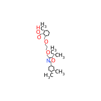 Cc1ccc(-c2nc(COCCCOCc3cccc(C)c3C(=O)O)c(C(C)C)o2)cc1C